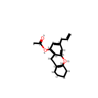 C=CCc1cc(OC(C)=O)c2c(c1)OC1=C(CCCC1)C2